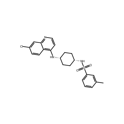 Cc1cccc(S(=O)(=O)N[C@H]2CC[C@@H](Nc3ccnc4cc(Cl)ccc34)CC2)c1